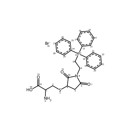 NC(CSC1CC(=O)N(CC[P+](c2ccccc2)(c2ccccc2)c2ccccc2)C1=O)C(=O)O.[Br-]